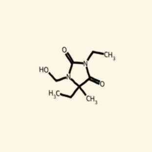 CCN1C(=O)N(CO)C(C)(CC)C1=O